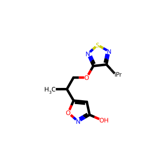 CC(C)c1nsnc1OCC(C)c1cc(O)no1